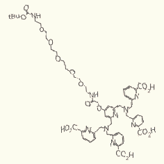 CC(C)(C)OC(=O)NCCOCCOCCOCCOCCOCCNC(=O)COc1cc(CN(Cc2cccc(C(=O)O)n2)Cc2cccc(C(=O)O)n2)nc(CN(Cc2cccc(C(=O)O)n2)Cc2cccc(C(=O)O)n2)c1